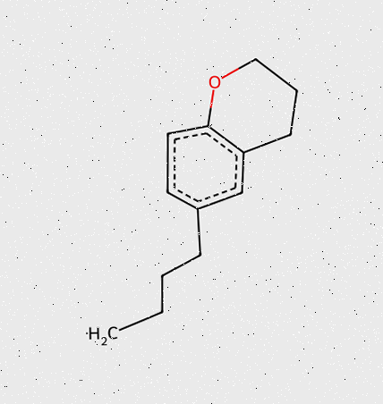 [CH2]CCCc1ccc2c(c1)CCCO2